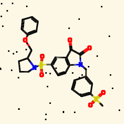 CS(=O)(=O)c1cccc(CN2C(=O)C(=O)c3cc(S(=O)(=O)N4CCCC4COc4ccccc4)ccc32)c1